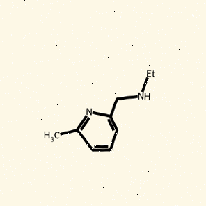 CCNCc1c[c]cc(C)n1